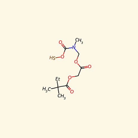 CCC(C)(C)C(=O)OCC(=O)OCN(C)C(=O)OS